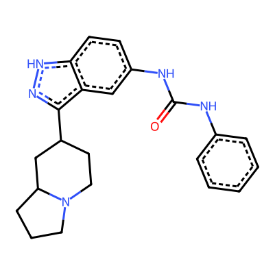 O=C(Nc1ccccc1)Nc1ccc2[nH]nc(C3CCN4CCCC4C3)c2c1